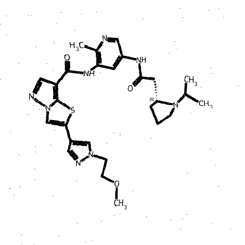 COCCn1cc(-c2cn3ncc(C(=O)Nc4cc(NC(=O)C[C@H]5CCCN5C(C)C)cnc4C)c3s2)cn1